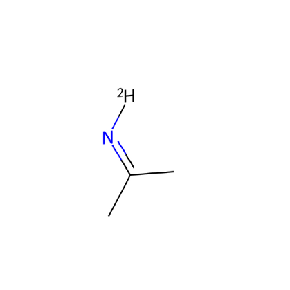 [2H]N=C(C)C